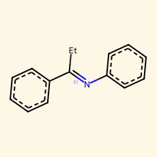 CC/C(=N\c1ccccc1)c1ccccc1